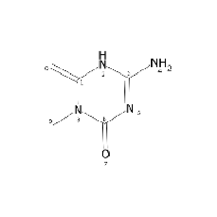 C=C1NC(N)=NC(=O)N1C